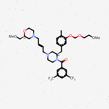 COCCOCOc1cc(C[C@@H]2CN(CC=CCN3CCO[C@H](COC)C3)CCN2C(=O)c2cc(C(F)(F)F)cc(C(F)(F)F)c2)ccc1C